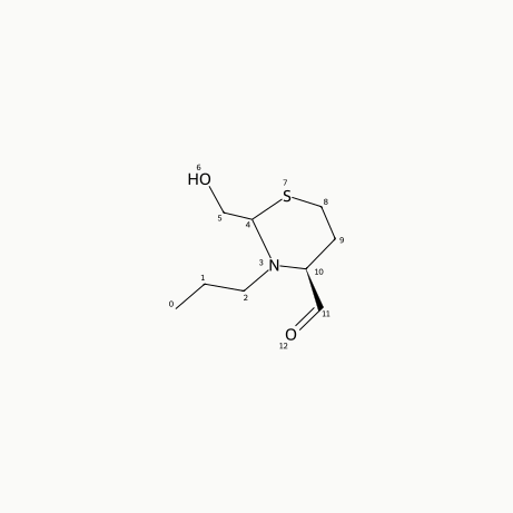 CCCN1C(CO)SCC[C@H]1C=O